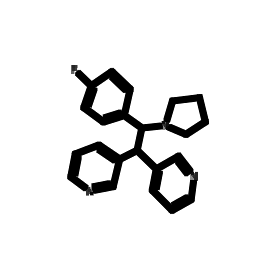 Fc1ccc(C(C(c2cccnc2)c2cccnc2)N2CCCC2)cc1